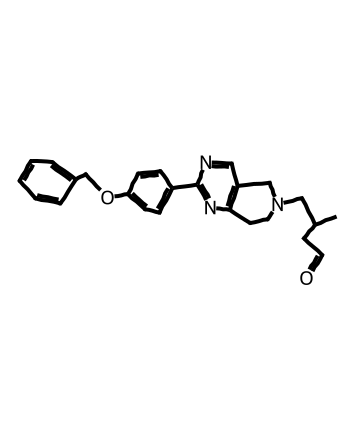 CC(CC=O)CN1CCc2nc(-c3ccc(OCc4ccccc4)cc3)ncc2C1